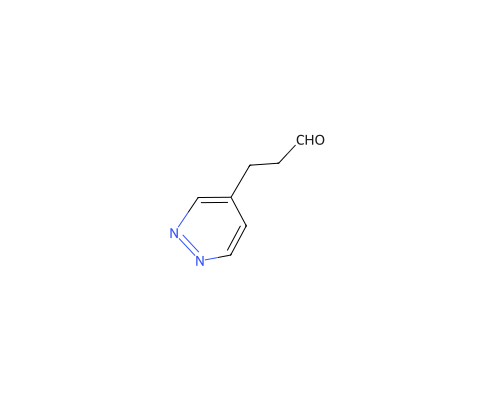 O=CCCc1ccnnc1